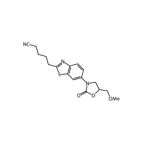 COCC1CN(c2ccc3nc(CCCCC#N)sc3c2)C(=O)O1